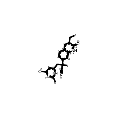 CCc1cc2ccc(C(C)(C#N)Cc3cc(Cl)nc(C)n3)cc2[nH]c1=O